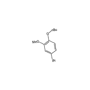 CCCCOc1ccc(C(C)C)cc1OC